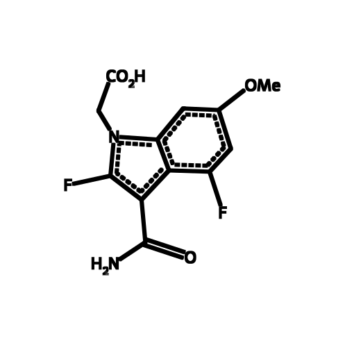 COc1cc(F)c2c(C(N)=O)c(F)n(CC(=O)O)c2c1